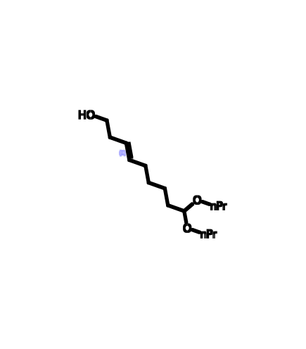 CCCOC(CCCC/C=C/CCO)OCCC